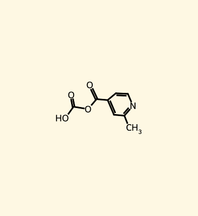 Cc1cc(C(=O)OC(=O)O)ccn1